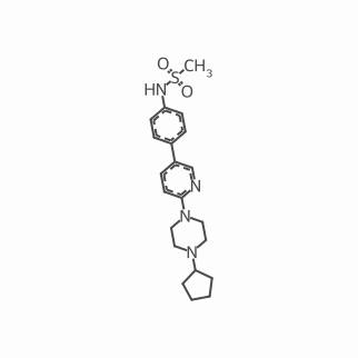 CS(=O)(=O)Nc1ccc(-c2ccc(N3CCN(C4CCCC4)CC3)nc2)cc1